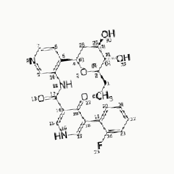 CC[C@H]1O[C@@H](c2ccncc2NC(=O)c2c[nH]cc(-c3ccccc3F)c2=O)C[C@@H](O)[C@@H]1O